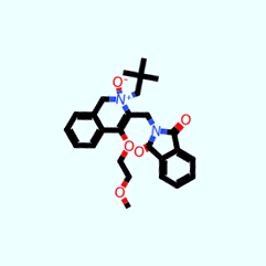 COCCOC1=C(CN2C(=O)c3ccccc3C2=O)[N+]([O-])(CC(C)(C)C)Cc2ccccc21